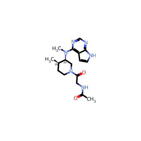 CC(=O)NCC(=O)N1CC[C@@H](C)[C@@H](N(C)c2ncnc3[nH]ccc23)C1